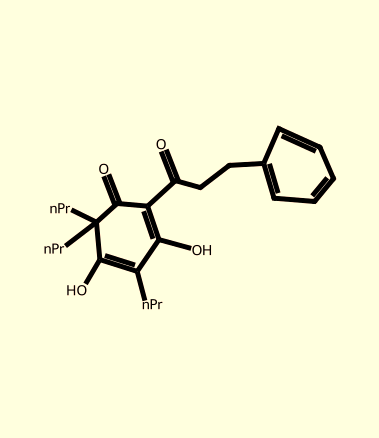 CCCC1=C(O)C(CCC)(CCC)C(=O)C(C(=O)CCc2ccccc2)=C1O